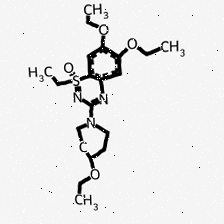 CCOc1cc2c(cc1OCC)S(=O)(CC)=NC(N1CCC(OCC)CC1)=N2